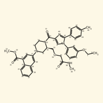 CCOc1cccc(-n2cc(C(=O)N3CCN(c4cc(C(=O)OC)c5ccccc5c4)C[C@@H]3COCC(=O)NC)nc2-c2ccc(C)cc2)c1